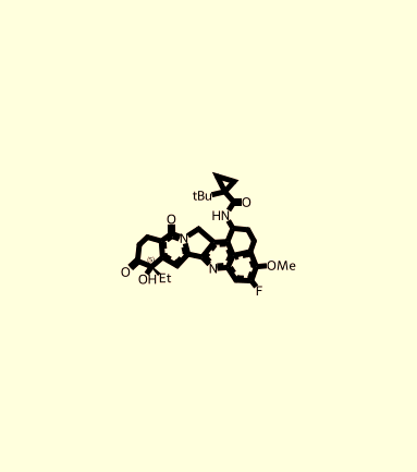 CC[C@@]1(O)C(=O)CCc2c1cc1n(c2=O)Cc2c-1nc1cc(F)c(OC)c3c1c2C(NC(=O)C1(C(C)(C)C)CC1)CC3